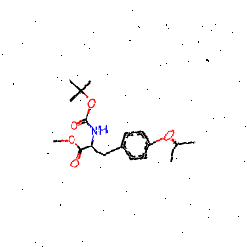 COC(=O)C(Cc1ccc(OC(C)C)cc1)NC(=O)OC(C)(C)C